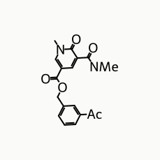 CNC(=O)c1cc(C(=O)OCc2cccc(C(C)=O)c2)cn(C)c1=O